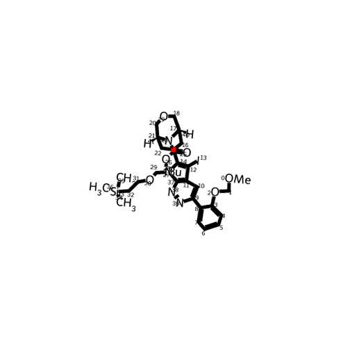 COCOc1ccccc1-c1cc2c(I)c(C3C[C@H]4COC[C@@H](C3)N4C(=O)OC(C)(C)C)n(COCC[Si](C)(C)C)c2nn1